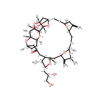 C=C1C[C@@H]2CC[C@@]34C[C@H]5O[C@H]6[C@@H](O3)[C@H]3O[C@H](CC[C@@H]3O[C@@]6(C)[C@H]5O4)CC(=O)CC3[C@H](CC4O[C@@H](CCC1O2)C[C@@H](C)C4=C)O[C@H](C[C@H](O)CO)[C@@H]3C